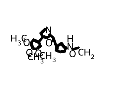 C=CC(=O)Nc1cccc(-c2cc3nccc(-c4cc(OC)c(OC)c(OC)c4)c3o2)c1